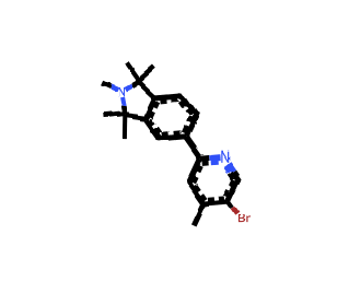 Cc1cc(-c2ccc3c(c2)C(C)(C)N(C)C3(C)C)ncc1Br